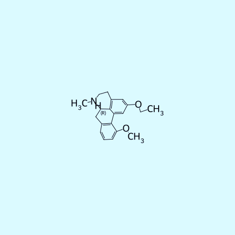 CCOc1cc2c3c(c1)-c1c(cccc1OC)C[C@H]3N(C)CC2